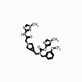 Cn1cnc(OC(=O)N(Cc2cccc(OC(F)(F)F)c2)CC2C3CN(CC(=O)Nc4ncn(C)n4)CC32)c1